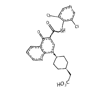 O=C(O)C[C@H]1CC[C@@H](n2cc(C(=O)Nc3c(Cl)cncc3Cl)c(=O)c3cccnc32)CC1